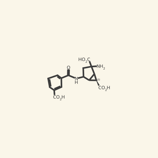 NC1(C(=O)O)CC(NC(=O)c2cccc(C(=O)O)c2)C2C1[C@H]2C(=O)O